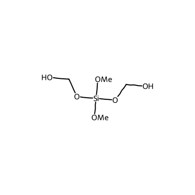 CO[Si](OC)(OCO)OCO